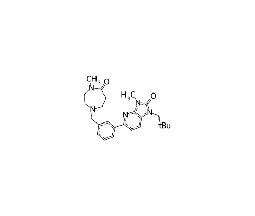 CN1CCN(Cc2cccc(-c3ccc4c(n3)n(C)c(=O)n4CC(C)(C)C)c2)CCC1=O